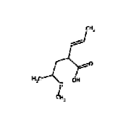 CC=CC(CC(C)OC)C(=O)O